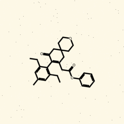 CCc1cc(C)cc(CC)c1C1=C(CC(=O)Oc2ccccc2)CC2(CCOCC2)CC1=O